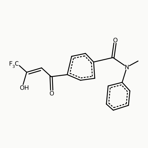 CN(C(=O)c1ccc(C(=O)C=C(O)C(F)(F)F)cc1)c1ccccc1